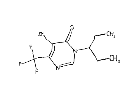 CCC(CC)n1cnc(C(F)(F)F)c(Br)c1=O